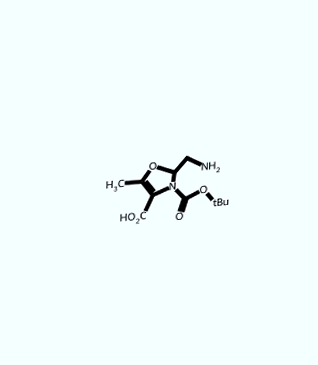 CC1=C(C(=O)O)N(C(=O)OC(C)(C)C)C(CN)O1